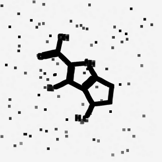 CC1CCc2[nH]c(C(=O)O)c(Br)c21